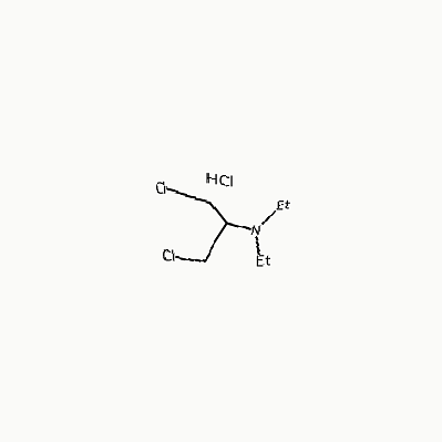 CCN(CC)C(CCl)CCl.Cl